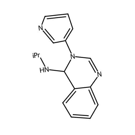 CC(C)NC1c2ccccc2N=CN1c1cccnc1